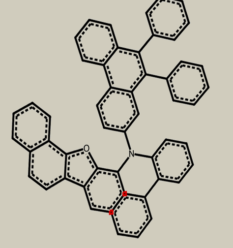 c1ccc(-c2ccccc2N(c2ccc3c(c2)c(-c2ccccc2)c(-c2ccccc2)c2ccccc23)c2cccc3c2oc2c4ccccc4ccc32)cc1